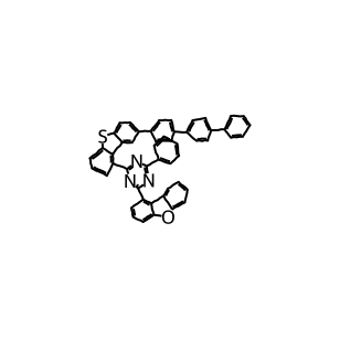 c1ccc(-c2ccc(-c3ccc(-c4ccc5sc6cccc(-c7nc(-c8ccccc8)nc(-c8cccc9oc%10ccccc%10c89)n7)c6c5c4)cc3)cc2)cc1